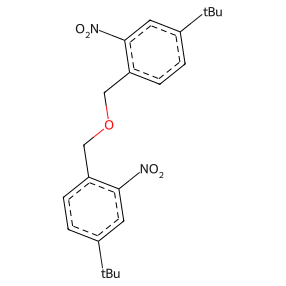 CC(C)(C)c1ccc(COCc2ccc(C(C)(C)C)cc2[N+](=O)[O-])c([N+](=O)[O-])c1